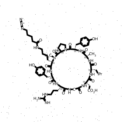 CC(C)C[C@@H]1NC(=O)[C@H](CC(=O)O)NC(=O)CNC(=O)[C@H](CCCNC(=N)N)NC(=O)[C@H](Cc2ccc(O)cc2)NC(=O)[C@H](CCCCNC(=O)CCCCN=[N+]=[N-])N(C)C(=O)[C@H]2CCCN2C(=O)[C@H](Cc2ccc(O)cc2)NC(=O)[C@H](C)NC1=O